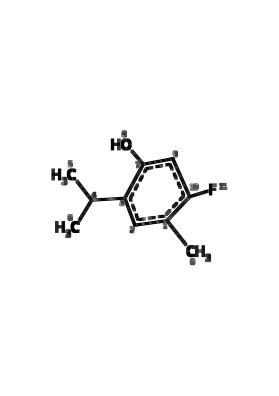 Cc1cc(C(C)C)c(O)cc1F